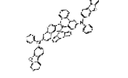 c1ccc(N(c2ccc3c4c(ccc3c2)-c2c(c3ccc(N(c5ccccc5)c5ccc6c(c5)oc5ccccc56)cc3c3ccccc23)C42c3ccccc3-c3ccccc32)c2ccc3c(c2)oc2ccccc23)cc1